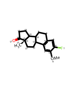 COc1cc2c(cc1F)CCC1C2CC[C@]2(C)C(=O)CCC12